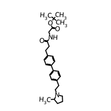 CC1CCCN1CCc1ccc(-c2ccc(CCC(=O)NCC(=O)OC(C)(C)C)cc2)cc1